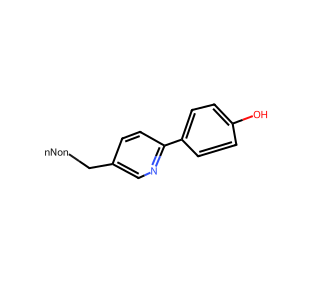 CCCCCCCCCCc1ccc(-c2ccc(O)cc2)nc1